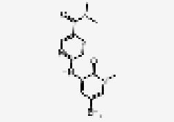 Bc1cc(Nc2ccc(C(=O)N(C)C)cn2)c(=O)n(C)c1